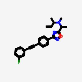 C=CC(C)N(C)C(C)c1nc(-c2ccc(C#Cc3cccc(F)c3)cc2)no1